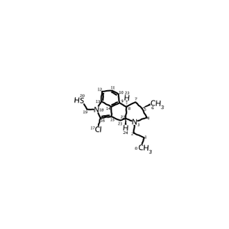 CCCN1C[C@H](C)C[C@@H]2c3cccc4c3c(c(Cl)n4CS)C[C@H]21